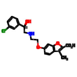 Cc1c(C(=O)O)oc2cc(OCCNC[C@H](O)c3cccc(Cl)c3)ccc12